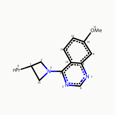 CCCC1CN(c2ncnc3cc(OC)ccc23)C1